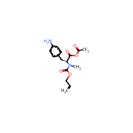 C=CCOC(=O)N(C)[C@@H](Cc1ccc(N)cc1)C(=O)OC(=O)C(F)(F)F